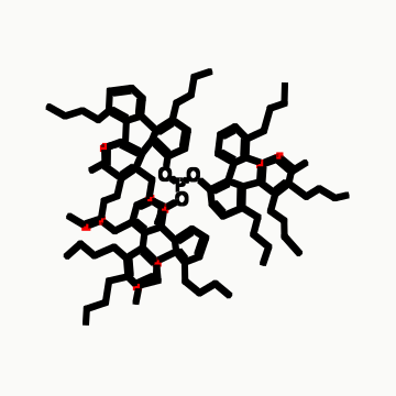 CCCCc1cccc(-c2c(CCCC)ccc(OP(Oc3ccc(CCCC)c(-c4cccc(CCCC)c4CCCC)c3-c3cccc(CCCC)c3CCCC)Oc3ccc(CCCC)c(-c4cccc(CCCC)c4CCCC)c3-c3cccc(CCCC)c3CCCC)c2-c2cccc(CCCC)c2CCCC)c1CCCC